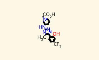 Cc1nc(NC2CCCN(CC(=O)O)C2)nnc1-c1ccc(C(F)(F)F)cc1O